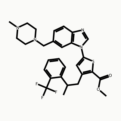 COC(=O)c1sc(-n2cnc3ccc(CN4CCN(C)CC4)cc32)cc1CC(C)c1ccccc1C(F)(F)F